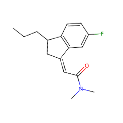 CCCC1C/C(=C/C(=O)N(C)C)c2cc(F)ccc21